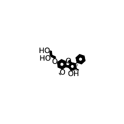 COc1cc(OCC(O)CO)cc2c1C1C(O)[C@H](C)[C@@H](c3ccccc3)C1O2